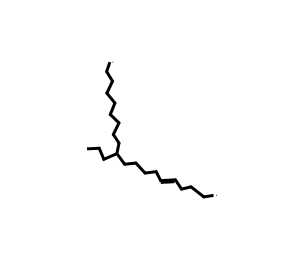 [CH2]CCCC=CCCCCC(CCC)CCCCCCCC[CH2]